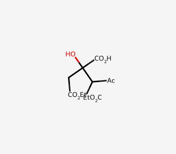 CCOC(=O)CC(O)(C(=O)O)C(C(C)=O)C(=O)OCC